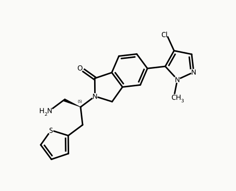 Cn1ncc(Cl)c1-c1ccc2c(c1)CN([C@H](CN)Cc1cccs1)C2=O